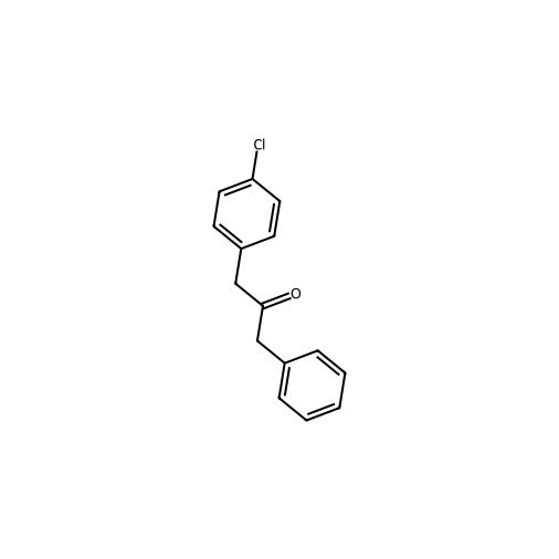 O=C(Cc1ccccc1)Cc1ccc(Cl)cc1